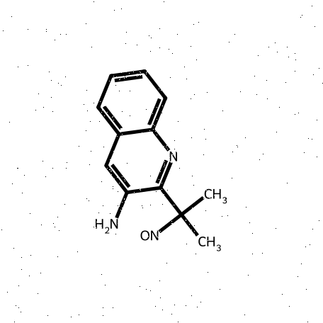 CC(C)(N=O)c1nc2ccccc2cc1N